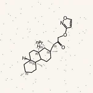 CCC[C@H]1[C@@H]2CC[C@H]3C[C@@H](C)CC[C@]3(C)C2CC[C@]1(C)[C@H](C)C(=O)COc1ccon1